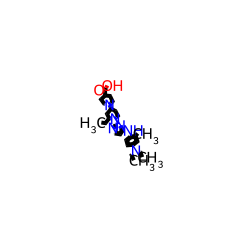 CCC1CC(N2CCC(C(=O)O)CC2)CCN1c1nccc(Nc2ccc(N(CC)CC)cc2C)n1